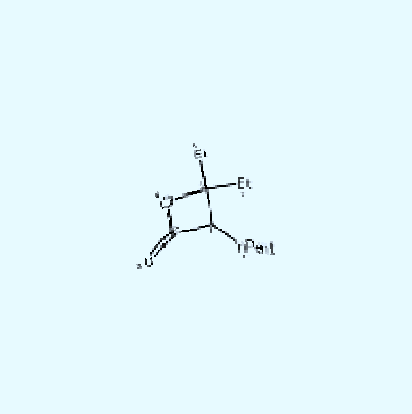 CCCCCC1C(=O)OC1(CC)CC